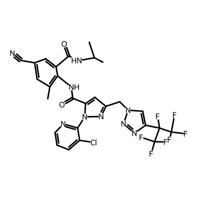 Cc1cc(C#N)cc(C(=O)NC(C)C)c1NC(=O)c1cc(Cn2cc(C(F)(C(F)(F)F)C(F)(F)F)nn2)nn1-c1ncccc1Cl